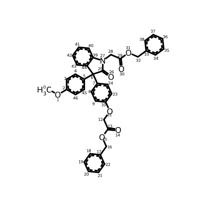 COc1ccc(C2(c3ccc(OCC(=O)OCc4ccccc4)cc3)C(=O)N(CC(=O)OCc3ccccc3)c3ccccc32)cc1